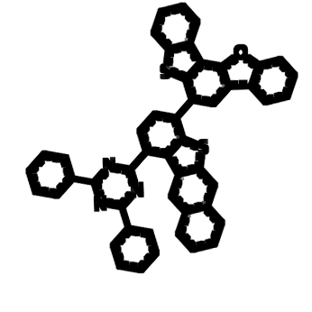 c1ccc(-c2nc(-c3ccccc3)nc(-c3ccc(-c4cc5c6ccccc6oc5c5c4sc4ccccc45)c4sc5cc6ccccc6cc5c34)n2)cc1